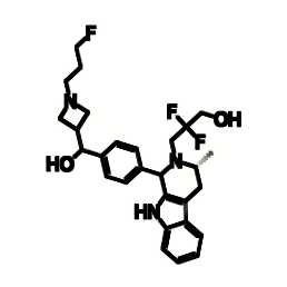 C[C@@H]1Cc2c([nH]c3ccccc23)C(c2ccc(C(O)C3CN(CCCF)C3)cc2)N1CC(F)(F)CO